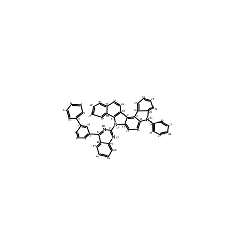 c1ccc(-c2cccc(-c3nc(-n4c5ccc6c(c7ccccc7n6-c6ccccc6)c5c5ccc6ccccc6c54)nc4ccccc34)c2)cc1